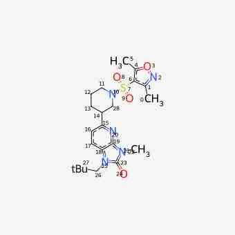 Cc1noc(C)c1S(=O)(=O)N1CCCC(c2ccc3c(n2)n(C)c(=O)n3CC(C)(C)C)C1